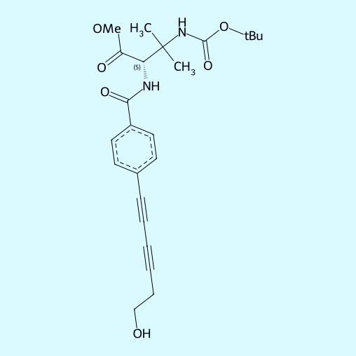 COC(=O)[C@@H](NC(=O)c1ccc(C#CC#CCCO)cc1)C(C)(C)NC(=O)OC(C)(C)C